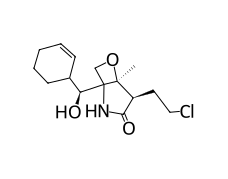 C[C@@]12OCC1([C@@H](O)C1C=CCCC1)NC(=O)[C@@H]2CCCl